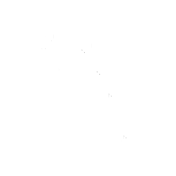 CCn1cc(OC(=O)O)c(=O)c2cc(F)c(N3CCC(CN)C3)nc21